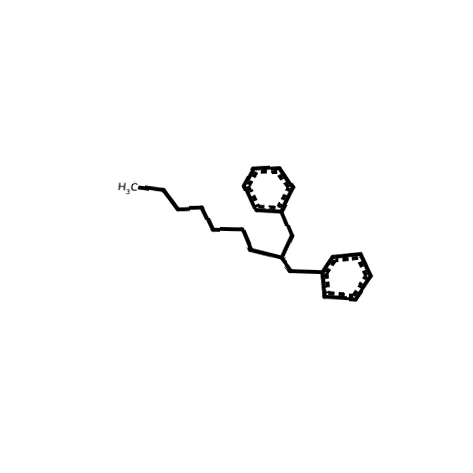 CCCCCCC[C](Cc1ccccc1)Cc1ccccc1